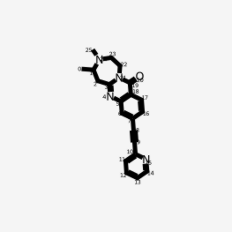 CC1Cc2nc3cc(C#Cc4ccccn4)ccc3c(=O)n2CCN1C